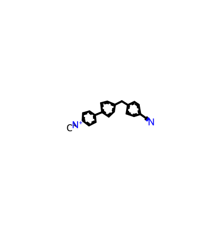 [C-]#[N+]c1ccc(-c2ccc(Cc3ccc(C#N)cc3)cc2)cc1